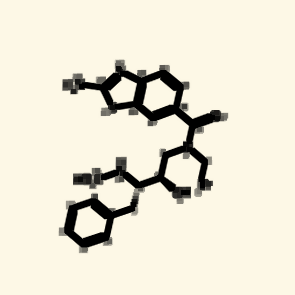 CC(C)CN(C[C@@H](O)[C@H](Cc1ccccc1)NC(=O)O)C(=O)c1ccc2nc(N)sc2c1